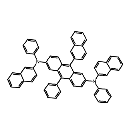 c1ccc(-c2c3ccc(N(c4ccccc4)c4ccc5ccccc5c4)cc3c(-c3ccc4ccccc4c3)c3ccc(N(c4ccccc4)c4ccc5ccccc5c4)cc23)cc1